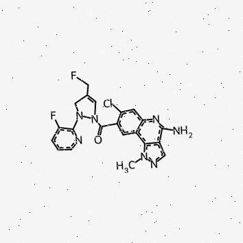 Cn1ncc2c(N)nc3cc(Cl)c(C(=O)N4C=C(CF)CN4c4ncccc4F)cc3c21